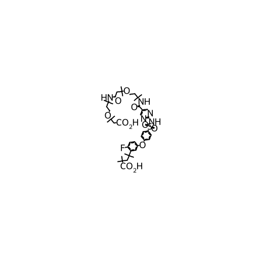 CC(C)(CCOC(C)(C)CC(=O)O)NC(=O)CC(C)(C)OCCC(C)(C)NC(=O)c1cnc(NS(=O)(=O)c2ccc(Oc3ccc(F)c(C(C)(C)CC(C)(C)C(=O)O)c3)cc2)nc1